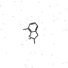 Cc1cccc2c1SC(C)C2